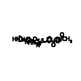 CC(=O)N1CCN(C(=O)c2cccc(CSc3cnc(NC(=O)c4ccc(N5CCNCC5)nc4)s3)c2)CC1